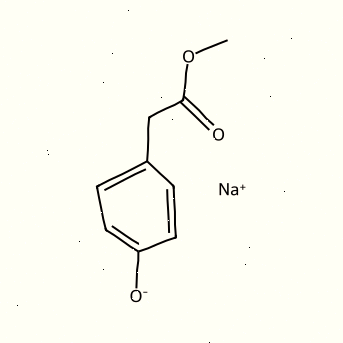 COC(=O)Cc1ccc([O-])cc1.[Na+]